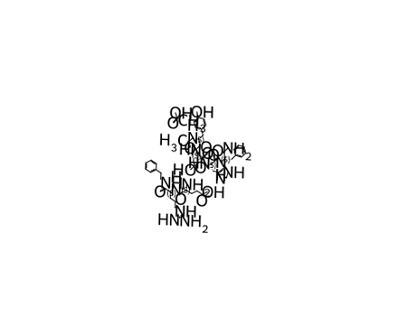 CC(=O)N[C@@H](Cc1ccc(O)cc1)C(=O)N[C@@H](CC(=O)O)C(=O)N[C@@H](Cc1c[nH]cn1)C(=O)N[C@@H](Cc1ccccc1)C(N)=O.CC(=O)O.N=C(N)NCCC[C@H](NC(=O)[C@@H](N)CCC(=O)O)C(=O)NCCc1ccccc1